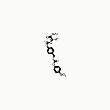 CC[C@H](Oc1ccc(COC(=O)Oc2ccc([N+](=O)[O-])cc2)cc1)O[C@H](C(=O)OC)C(C)C